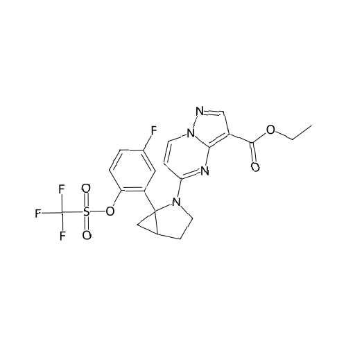 CCOC(=O)c1cnn2ccc(N3CCC4CC43c3cc(F)ccc3OS(=O)(=O)C(F)(F)F)nc12